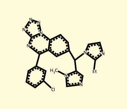 CCc1nccn1C(c1ccc2c(c1)c(-c1cccc(Cl)c1)nc1nnnn12)c1cncn1C